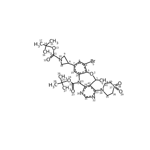 CC1Oc2c(Br)cc(C3CN(C(=O)OC(C)(C)C)C3)cc2N(C(=O)OC(C)(C)C)c2ncnc(N3CCS(=O)(=O)CC3)c21